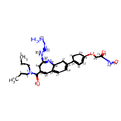 CCCN(CCC)C(=O)C1=CC2=CC=C(C3=CC=C(OCC(=O)N=O)CC3)CC2N=C(N=NN)C1